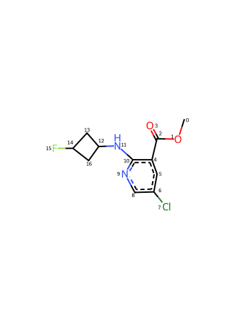 COC(=O)c1cc(Cl)cnc1NC1CC(F)C1